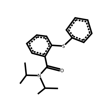 CC(C)N(C(=O)c1ccccc1Sc1ccccc1)C(C)C